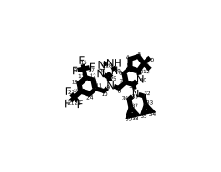 CC1(C)CCc2cc(CN(Cc3cc(C(F)(F)F)cc(C(F)(F)F)c3)c3nn[nH]n3)c(N(CC3CC3)CC3CC3)nc21